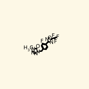 Cn1nnn(Cc2ccc(-c3noc(C(F)(F)F)n3)c(F)c2)c1=O